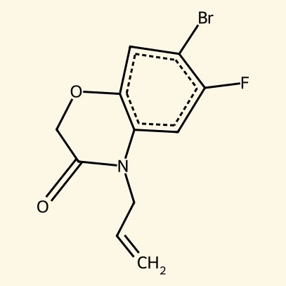 C=CCN1C(=O)COc2cc(Br)c(F)cc21